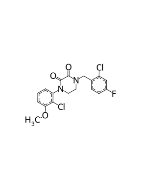 COc1cccc(N2CCN(Cc3ccc(F)cc3Cl)C(=O)C2=O)c1Cl